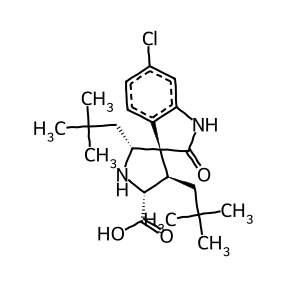 CC(C)(C)C[C@H]1N[C@@H](C(=O)O)[C@H](CC(C)(C)C)[C@@]12C(=O)Nc1cc(Cl)ccc12